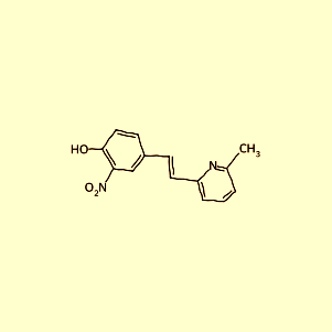 Cc1cccc(C=Cc2ccc(O)c([N+](=O)[O-])c2)n1